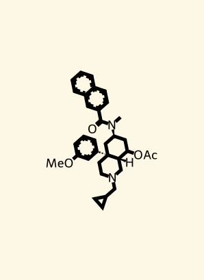 COc1cccc([C@@]23CCN(CC4CC4)C[C@H]2C(OC(C)=O)C[C@H](N(C)C(=O)c2ccc4ccccc4c2)C3)c1